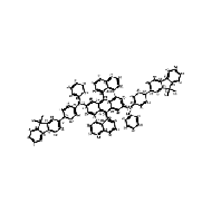 CC1(C)c2ccccc2-c2ccc(C3C=CC(N(C4=CC=CCC4)c4ccc5c(-c6cccc7ccccc67)c6cc(N(C7=CCC(c8ccc9c(c8)C(C)(C)c8ccccc8-9)C=C7)c7ccccc7)ccc6c(-c6cccc7ccccc67)c5c4)=CC3)cc21